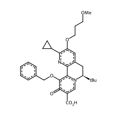 COCCCOc1cc2c(nc1C1CC1)-c1c(OCc3ccccc3)c(=O)c(C(=O)O)cn1[C@H](C(C)(C)C)C2